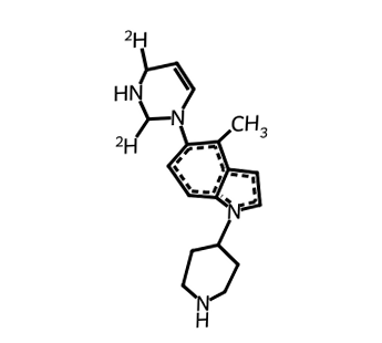 [2H]C1C=CN(c2ccc3c(ccn3C3CCNCC3)c2C)C([2H])N1